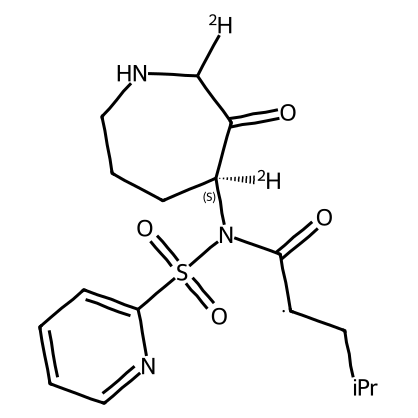 [2H]C1NCCC[C@]([2H])(N(C(=O)[CH]CC(C)C)S(=O)(=O)c2ccccn2)C1=O